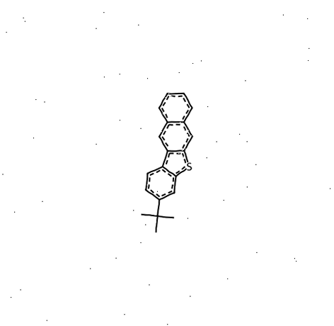 CC(C)(C)c1ccc2c(c1)sc1cc3ccccc3cc12